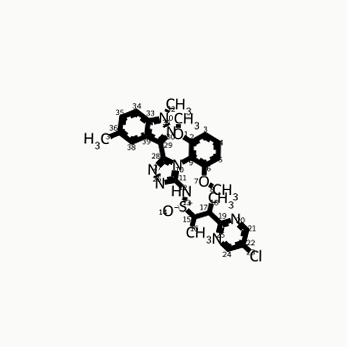 COc1cccc(OC)c1-n1c(N[S+]([O-])C(C)C(C)c2ncc(Cl)cn2)nnc1-c1nn(C)c2ccc(C)cc12